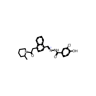 CC1CCCCN1C(=O)Cc1ccc(/C=N/NC(=O)c2ccc(O)c(Cl)c2)c2ccccc12